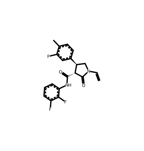 C=CN1C[C@H](c2ccc(C)c(F)c2)[C@@H](C(=O)Nc2cccc(F)c2F)C1=O